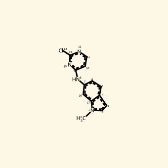 Cn1ccc2ccc(Nc3ccnc(Cl)n3)cc21